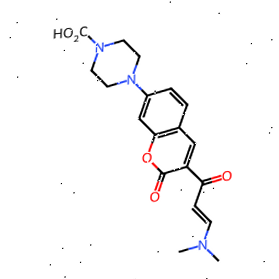 CN(C)C=CC(=O)c1cc2ccc(N3CCN(C(=O)O)CC3)cc2oc1=O